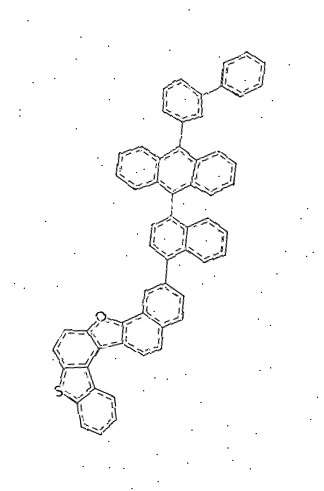 c1ccc(-c2cccc(-c3c4ccccc4c(-c4ccc(-c5ccc6ccc7c(oc8ccc9sc%10ccccc%10c9c87)c6c5)c5ccccc45)c4ccccc34)c2)cc1